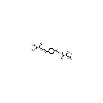 C=C(C)C(=O)OCOC1CCC(OCOC(=O)C(=C)C)CC1